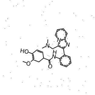 COC1=C(O)C=CC(C(=O)Nc2ccccc2-c2nc3ccccn3c2CN(C)C)C1